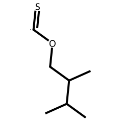 CC(C)C(C)CO[C]=S